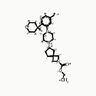 CCOC(=O)N1CC2(CC[C@@H](N3CCN(c4cc(F)cnc4C4(F)CCOCC4)CC3)C2)C1